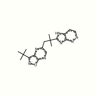 CC(C)(C)c1noc2ncc(CC(C)(C)c3nc4nnccc4[nH]3)nc12